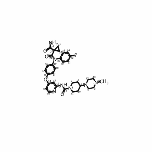 CN1CCN(C2CCN(C(=O)Nc3cc(Oc4ccc(N(C(=O)C5(C(N)=O)CC5)c5ccc(F)cc5)cc4)ccn3)CC2)CC1